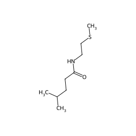 CSCCNC(=O)CCC(C)C